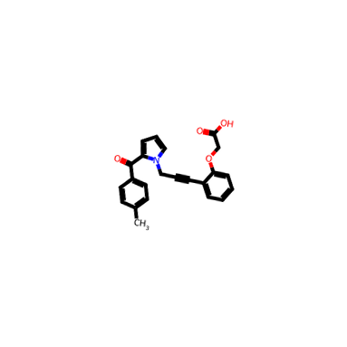 Cc1ccc(C(=O)c2cccn2CC#Cc2ccccc2OCC(=O)O)cc1